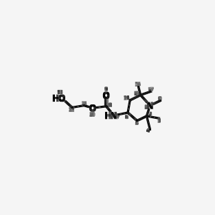 CN1C(C)(C)CC(NC(=O)OCCO)CC1(C)C